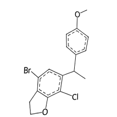 COc1ccc(C(C)c2cc(Br)c3c(c2Cl)OCC3)cc1